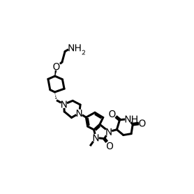 Cn1c(=O)n(C2CCC(=O)NC2=O)c2ccc(N3CCN(C[C@H]4CC[C@H](OCCN)CC4)CC3)cc21